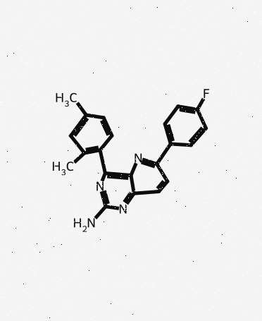 Cc1ccc(-c2nc(N)nc3ccc(-c4ccc(F)cc4)nc23)c(C)c1